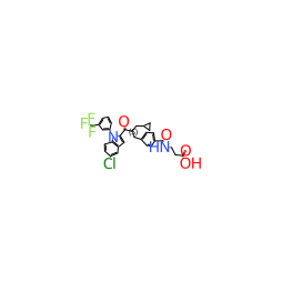 O=C(O)CCNC(=O)c1ccc(C[C@H](CC2CC2)C(=O)c2cc3cc(Cl)ccc3n2-c2cccc(C(F)(F)F)c2)cc1